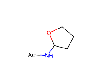 CC(=O)NC1CCCO1